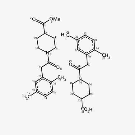 COC(=O)C1CCN(C(=O)Cc2cc(C)ccc2C)CC1.Cc1ccc(C)c(CC(=O)N2CCC(C(=O)O)CC2)c1